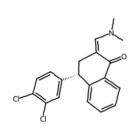 CN(C)/C=C1/C[C@@H](c2ccc(Cl)c(Cl)c2)c2ccccc2C1=O